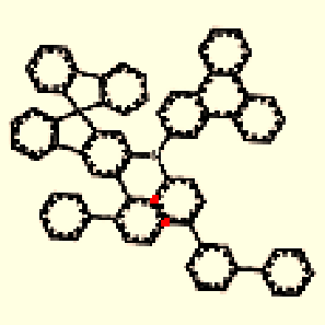 c1ccc(-c2cccc(-c3ccc(N(c4ccc5c6ccccc6c6ccccc6c5c4)c4cc5c(cc4-c4ccccc4-c4ccccc4)-c4ccccc4C54c5ccccc5-c5ccccc54)cc3)c2)cc1